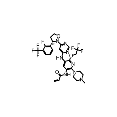 C=CC(=O)Nc1cc(Nc2cc(N3OCC[C@@H]3c3cccc(C(F)(F)F)c3F)ncn2)c(OCC(F)(F)F)nc1N1CCN(C)CC1